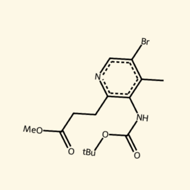 COC(=O)CCc1ncc(Br)c(C)c1NC(=O)OC(C)(C)C